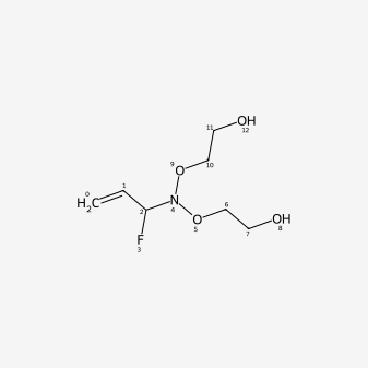 C=CC(F)N(OCCO)OCCO